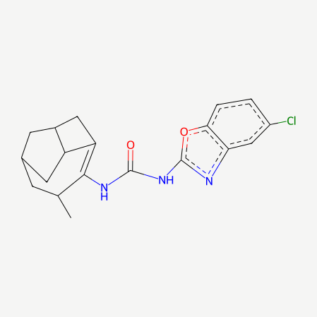 CC1CC2CC3CC(=C1NC(=O)Nc1nc4cc(Cl)ccc4o1)C3C2